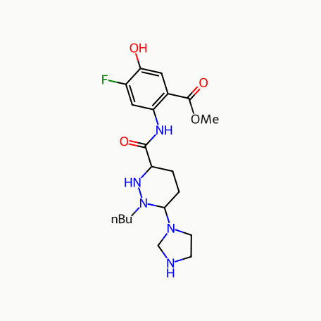 CCCCN1NC(C(=O)Nc2cc(F)c(O)cc2C(=O)OC)CCC1N1CCNC1